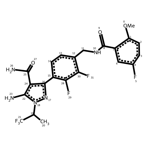 COc1ccc(F)cc1C(=O)NCc1ccc(-c2nn(C(C)C(F)(F)F)c(N)c2C(N)=O)c(F)c1F